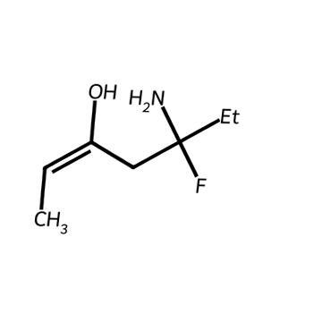 C/C=C(/O)CC(N)(F)CC